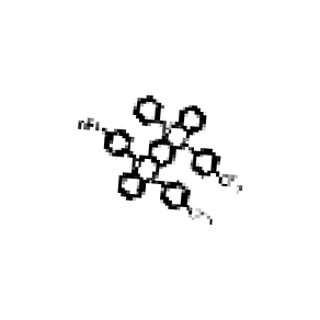 CCCCc1ccc(N2c3ccccc3B(c3ccc(C(F)(F)F)cc3)c3cc4c(cc32)N(c2ccccc2)c2ccccc2B4c2ccc(C(F)(F)F)cc2)cc1